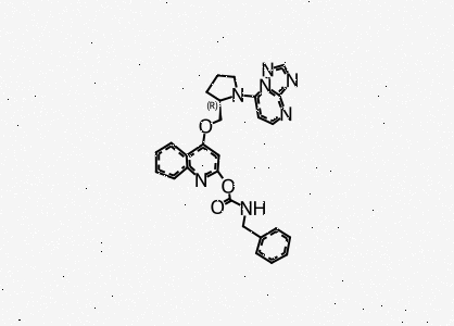 O=C(NCc1ccccc1)Oc1cc(OC[C@H]2CCCN2c2ccnc3ncnn23)c2ccccc2n1